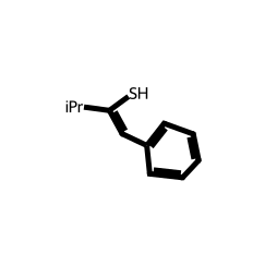 CC(C)C(S)=Cc1ccccc1